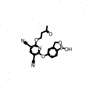 CC(=O)CCOc1nc(Oc2ccc3c(c2)COB3O)c(C#N)cc1C#N